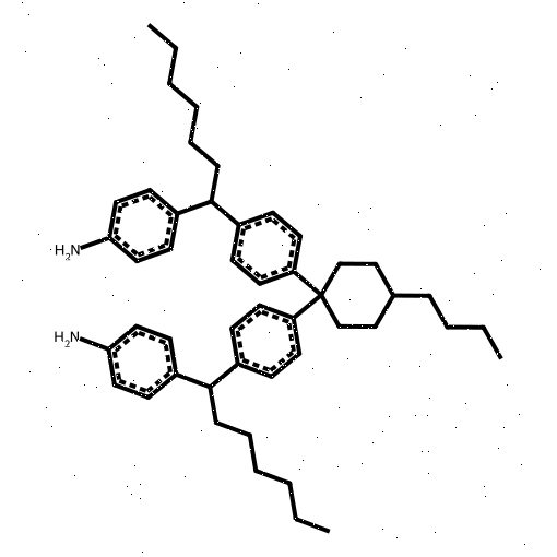 CCCCCCC(c1ccc(N)cc1)c1ccc(C2(c3ccc(C(CCCCCC)c4ccc(N)cc4)cc3)CCC(CCCC)CC2)cc1